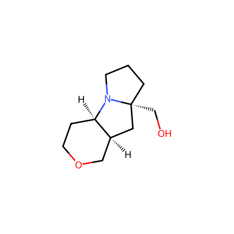 OC[C@@]12CCCN1[C@@H]1CCOC[C@@H]1C2